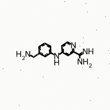 N=C(N)c1cc(Nc2cccc(CN)c2)ccn1